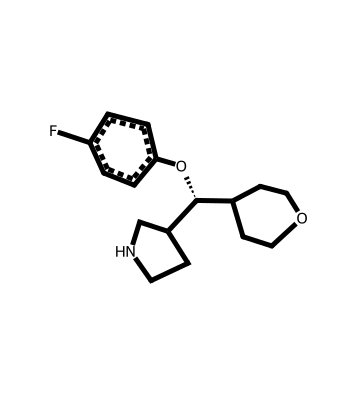 Fc1ccc(O[C@H](C2CCOCC2)C2CCNC2)cc1